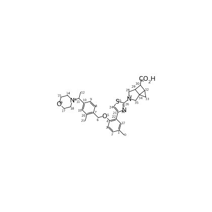 Cc1ccc(OCc2ccc(C(C)N3CCOCC3)cc2C)c(-c2csc(N3CC4C(C(=O)O)C5CC45C3)n2)c1